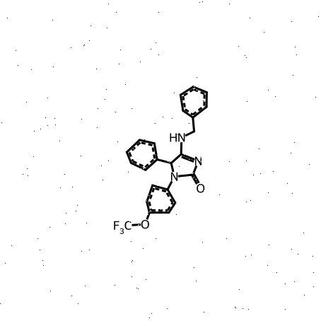 O=C1N=C(NCc2ccccc2)C(c2ccccc2)N1c1ccc(OC(F)(F)F)cc1